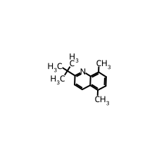 Cc1ccc(C)c2nc(C(C)(C)C)ccc12